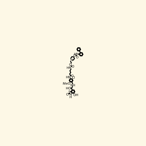 COc1cc(NC(=O)CCCCNC(=O)OCCN2CCC(OC(=O)Nc3ccccc3-c3ccccc3)CC2)c(Cl)cc1CNC[C@H](O)c1ccc(O)c2[nH]c(=O)sc12